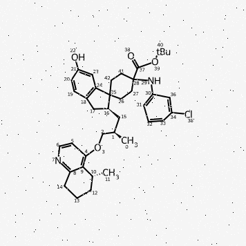 C[C@@H](COc1ccnc2c1[C@H](C)CCC2)C[C@H]1Cc2ccc(O)cc2C12CCC(Nc1cccc(Cl)c1)(C(=O)OC(C)(C)C)CC2